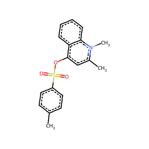 Cc1ccc(S(=O)(=O)Oc2cc(C)[n+](C)c3ccccc23)cc1